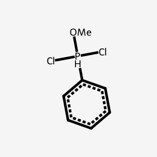 CO[PH](Cl)(Cl)c1ccccc1